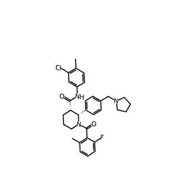 Cc1ccc(NC(=O)[C@H]2CCCN(C(=O)c3c(C)cccc3F)[C@H]2c2ccc(CN3CCCC3)cc2)cc1Cl